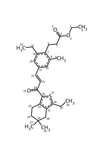 CCOC(=O)CCc1c(C)cc(C=CC(=O)c2sc(CC)c3c2CCC(C)(C)C3)cc1CC